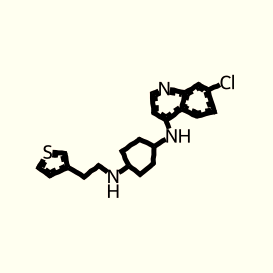 Clc1ccc2c(NC3CCC(NCCc4ccsc4)CC3)ccnc2c1